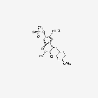 CCOC(=O)c1cn(C(CC2CCC(OC)CC2)C(=O)OC(C)(C)C)c(=O)cc1OS(=O)(=O)C(F)(F)F